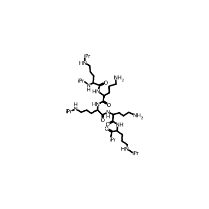 CC(C)NCCCC(NC(=O)C(CCCN)NC(=O)C(CCCNC(C)C)NC(C)C)C(=O)NC(CCCN)C(=O)NC(CCCNC(C)C)C(=O)C(C)C